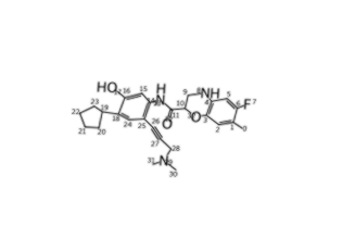 Cc1cc2c(cc1F)NCC(C(=O)Nc1cc(O)c(C3CCCC3)cc1C#CCN(C)C)O2